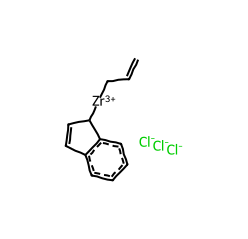 C=C[CH2][Zr+3][CH]1C=Cc2ccccc21.[Cl-].[Cl-].[Cl-]